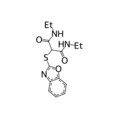 CCNC(=O)C(Sc1nc2ccccc2o1)C(=O)NCC